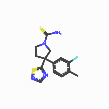 Cc1ccc(C2(c3ncns3)CCN(C(N)=S)C2)cc1F